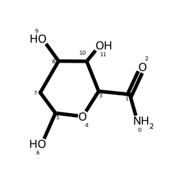 NC(=O)C1OC(O)CC(O)C1O